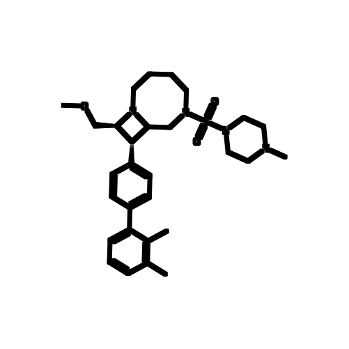 COC[C@@H]1[C@@H](c2ccc(-c3cccc(C)c3C)cc2)C2CN(S(=O)(=O)N3CCN(C)CC3)CCCCN21